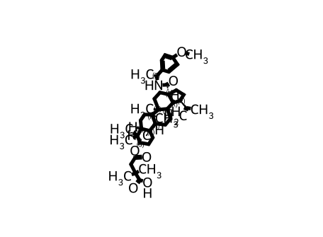 C=C(C)[C@@H]1CC[C@]2(C(=O)N[C@@H](C)c3ccc(OC)cc3)CC[C@]3(C)[C@H](CC[C@@H]4[C@@]5(C)CC[C@H](OC(=O)CC(C)(C)C(=O)O)C(C)(C)[C@@H]5CC[C@]43C)[C@@H]12